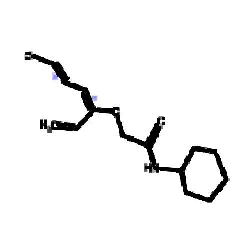 C=C/C(=C\C=C\Cl)OCC(=O)NC1CCCCC1